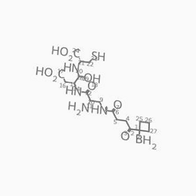 BC1(C(=O)CCC(=O)NC[C@H](N)C(=O)N[C@@H](CC(=O)O)C(O)N[C@@H](CS)C(=O)O)CCC1